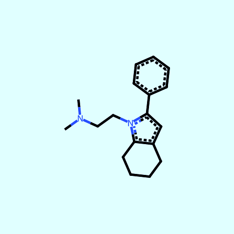 CN(C)CCn1c(-c2ccccc2)cc2c1CCCC2